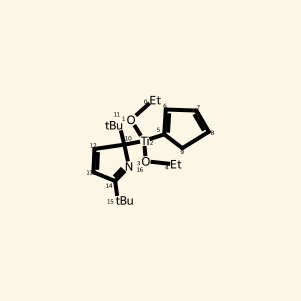 CC[O][Ti]([O]CC)([C]1=CC=CC1)[C]1(C(C)(C)C)C=CC(C(C)(C)C)=N1